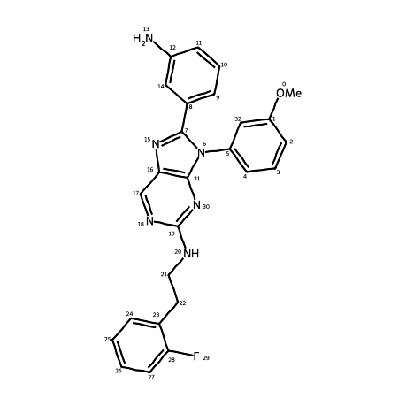 COc1cccc(-n2c(-c3cccc(N)c3)nc3cnc(NCCc4ccccc4F)nc32)c1